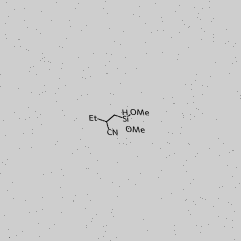 CCC(C#N)C[SiH](OC)OC